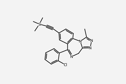 Cc1nnc2n1-c1ccc(C#C[Si](C)(C)C)cc1C(c1ccccc1Cl)=NC2